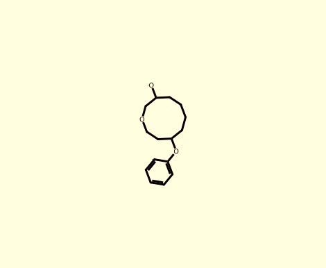 [O]C1CCCCC(Oc2[c]cccc2)CCOC1